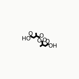 CC(CC(=O)O)C(=O)OC(=O)C(C)CC(=O)O